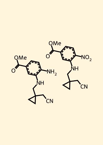 COC(=O)c1ccc(N)c(NCC2(CC#N)CC2)c1.COC(=O)c1ccc([N+](=O)[O-])c(NCC2(CC#N)CC2)c1